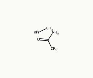 CCCC.NC(=O)C(F)(F)F